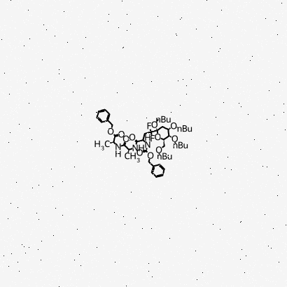 CCCCOC[C@H]1O[C@@](OCCCC)(C(F)(F)CC(NC(=O)OCc2ccccc2)C(=O)N[C@@H](C)C(=O)N[C@@H](C)C(=O)OCc2ccccc2)C[C@@H](OCCCC)[C@H]1OCCCC